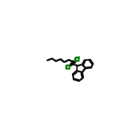 CCCCC[CH2][Zr]([Cl])([Cl])[CH]1c2ccccc2-c2ccccc21